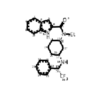 CCN(C(=O)c1cc2ccccc2[nH]1)[C@H]1CCC[C@@H](N[C@@H](c2ccccc2)C(F)(F)F)C1